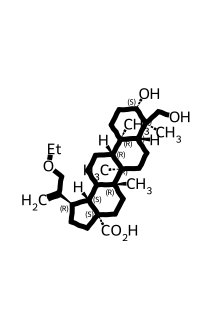 C=C(COCC)[C@@H]1CC[C@]2(C(=O)O)CC[C@]3(C)C(CC[C@@H]4[C@@]5(C)CC[C@H](O)[C@@](C)(CO)[C@@H]5CC[C@]43C)[C@@H]12